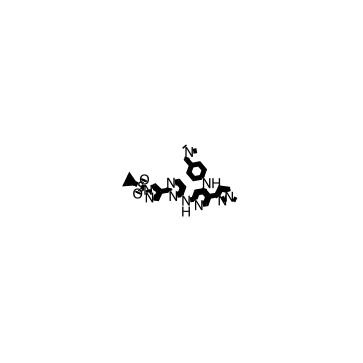 CN(C)CC1CCC(Nc2cc(Nc3ccnc(-c4cnn(S(=O)(=O)C5CC5)c4)n3)ncc2-c2ccn(C)n2)CC1